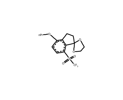 CCCOc1ccc(S(=O)(=O)C(F)(F)F)c2c1CCC21OCCO1